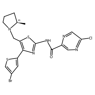 C[C@@H]1CCCN1Cc1sc(NC(=O)c2cnc(Cl)cn2)nc1-c1cc(Br)cs1